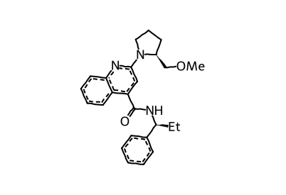 CC[C@H](NC(=O)c1cc(N2CCC[C@H]2COC)nc2ccccc12)c1ccccc1